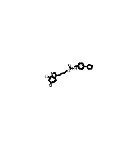 CCC1=CC(Cl)=C=CC2=C1N=CC2CCCCOC(=O)NCc1ccc(C2CCCC2)cc1